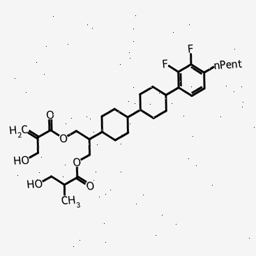 C=C(CO)C(=O)OCC(COC(=O)C(C)CO)C1CCC(C2CCC(c3ccc(CCCCC)c(F)c3F)CC2)CC1